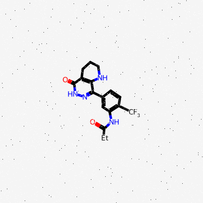 CCC(=O)Nc1cc(-c2n[nH]c(=O)c3c2NCCC3)ccc1C(F)(F)F